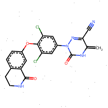 C=C1NC(=O)N(c2cc(Cl)c(Oc3ccc4c(c3)C(=O)NCC4)c(Cl)c2)N=C1C#N